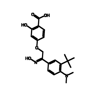 CN(C)c1ccc(/C(COc2ccc(C(=O)O)c(O)c2)=N/O)cc1C(C)(C)C